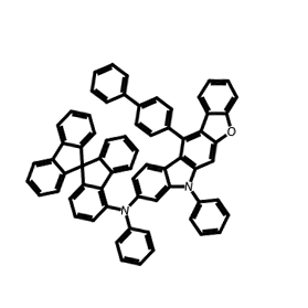 c1ccc(-c2ccc(-c3c4c(cc5c3c3ccc(N(c6ccccc6)c6cccc7c6-c6ccccc6C76c7ccccc7-c7ccccc76)cc3n5-c3ccccc3)oc3ccccc34)cc2)cc1